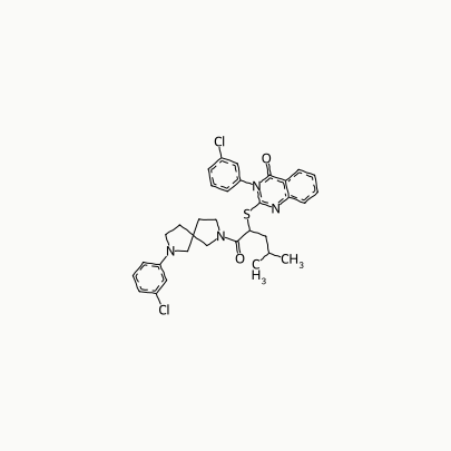 CC(C)CC(Sc1nc2ccccc2c(=O)n1-c1cccc(Cl)c1)C(=O)N1CCC2(CCN(c3cccc(Cl)c3)C2)C1